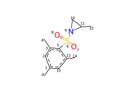 Cc1cc(C)c(S(=O)(=O)N2CC2C)c(C)c1